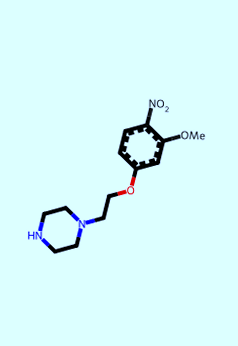 COc1cc(OCCN2CCNCC2)ccc1[N+](=O)[O-]